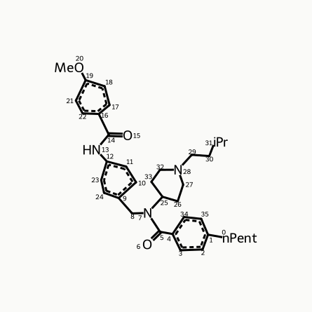 CCCCCc1ccc(C(=O)N(Cc2ccc(NC(=O)c3ccc(OC)cc3)cc2)C2CCN(CCC(C)C)CC2)cc1